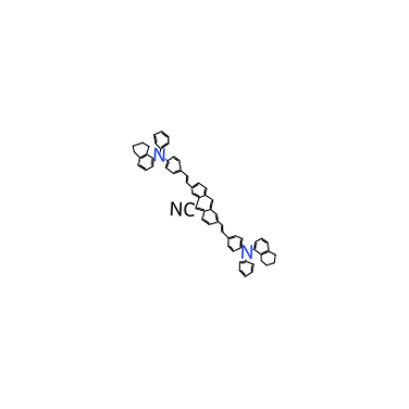 N#Cc1c2ccc(C=Cc3ccc(N(c4ccccc4)c4cccc5c4CCCC5)cc3)cc2cc2ccc(C=Cc3ccc(N(c4ccccc4)c4cccc5c4CCCC5)cc3)cc12